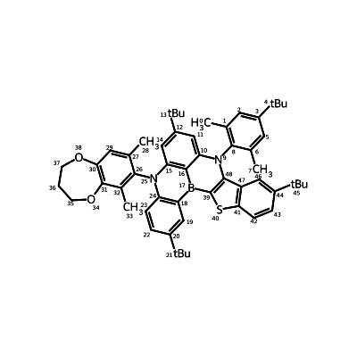 Cc1cc(C(C)(C)C)cc(C)c1N1c2cc(C(C)(C)C)cc3c2B(c2cc(C(C)(C)C)ccc2N3c2c(C)cc3c(c2C)OCCCO3)c2sc3ccc(C(C)(C)C)cc3c21